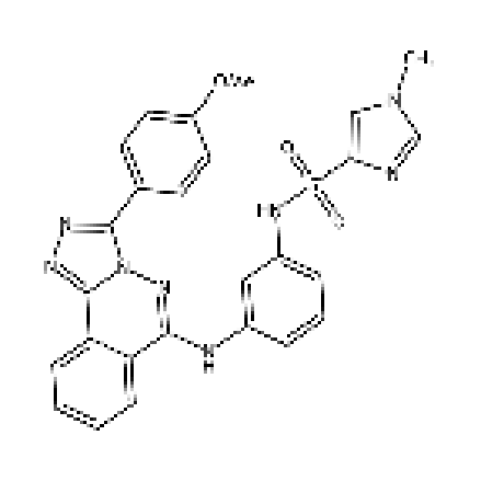 COc1ccc(-c2nnc3c4ccccc4c(Nc4cccc(NS(=O)(=O)c5cn(C)cn5)c4)nn23)cc1